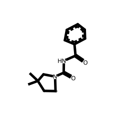 CC1(C)C[CH]N(C(=O)NC(=O)c2ccccc2)C1